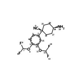 N#C[C@]1(c2ccc(OC(F)F)c(OC(F)F)c2)CC[C@H](N)CC1